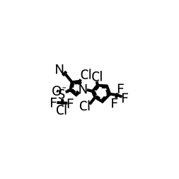 N#Cc1c([S+]([O-])C(F)(F)Cl)cn(-c2c(Cl)cc(C(F)(F)F)cc2Cl)c1Cl